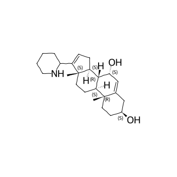 C[C@]12CC[C@H](O)CC1=C[C@@H](O)[C@@H]1[C@@H]2CC[C@]2(C)C(C3CCCCN3)=CC[C@@H]12